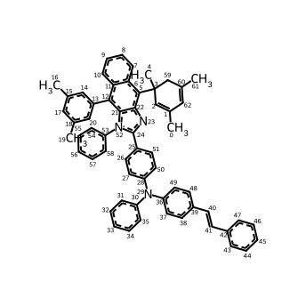 CC1=CC(C)(c2c3ccccc3c(-c3cc(C)cc(C)c3)c3c2nc(-c2ccc(N(c4ccccc4)c4ccc(/C=C/c5ccccc5)cc4)cc2)n3-c2ccccc2)CC(C)=C1